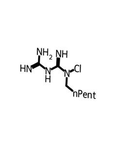 CCCCCCN(Cl)C(=N)NC(=N)N